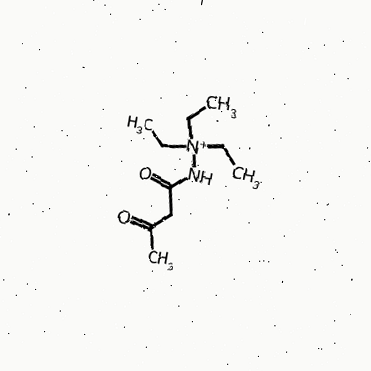 CC[N+](CC)(CC)NC(=O)CC(C)=O